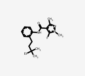 CCC(C)(C)CCc1ccccc1NC(=O)c1c(C)nn(C)c1F